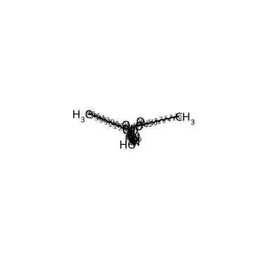 CCCCCCCCCCCCCCCC(=O)OC[C@@H]1C[C@@H](OC(=O)CCCCCCCCCCCCCCC)[C@H](n2cnc3c(O)ncnc32)O1